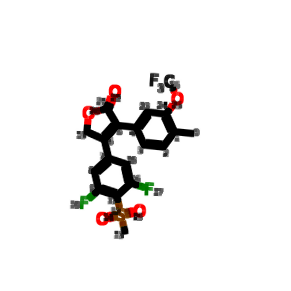 Cc1ccc(C2=C(c3cc(F)c(S(C)(=O)=O)c(F)c3)COC2=O)cc1OC(F)(F)F